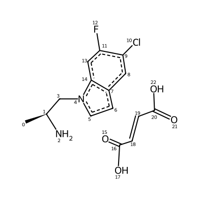 C[C@H](N)Cn1ccc2cc(Cl)c(F)cc21.O=C(O)C=CC(=O)O